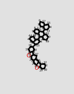 c1ccc2c(-c3c4ccccc4c(-c4ccc(-c5ccc6oc7cc8cc9oc%10ccccc%10c9cc8cc7c6c5)c5ccccc45)c4ccccc34)cccc2c1